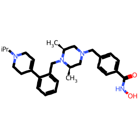 CC(C)N1CC=C(c2ccccc2CN2[C@H](C)CN(Cc3ccc(C(=O)NO)cc3)C[C@@H]2C)CC1